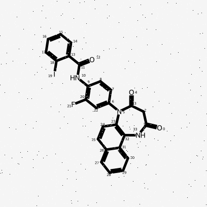 O=C1CC(=O)N(c2ccc(NC(=O)c3ccccc3I)c(F)c2)c2ccc3ccccc3c2N1